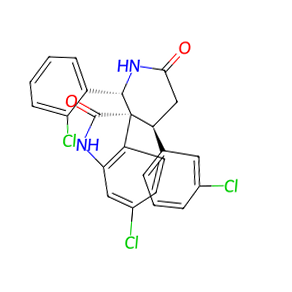 O=C1C[C@@H](c2cccc(Cl)c2)[C@]2(C(=O)Nc3cc(Cl)ccc32)[C@H](c2ccccc2Cl)N1